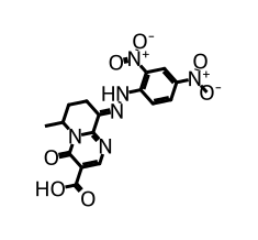 CC1CCC(=NNc2ccc([N+](=O)[O-])cc2[N+](=O)[O-])c2ncc(C(=O)O)c(=O)n21